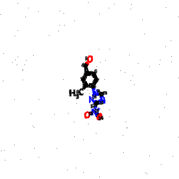 Cc1cc(C=O)ccc1-n1cnc([N+](=O)[O-])n1